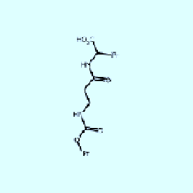 CC(C)OC(=O)NCCC(=O)NC(C(=O)O)C(C)C